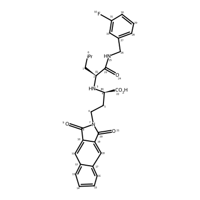 CC(C)C[C@H](N[C@H](CCN1C(=O)c2cc3ccccc3cc2C1=O)C(=O)O)C(=O)NCc1cccc(F)c1